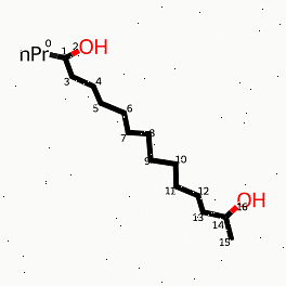 CCCC(O)CCCCCCCCCCCC(C)O